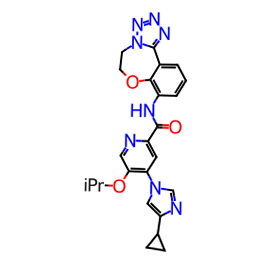 CC(C)Oc1cnc(C(=O)Nc2cccc3c2OCCn2nnnc2-3)cc1-n1cnc(C2CC2)c1